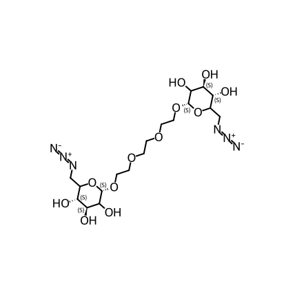 [N-]=[N+]=NCC1O[C@H](OCCOCCOCCO[C@H]2OC(CN=[N+]=[N-])[C@@H](O)[C@H](O)C2O)C(O)[C@@H](O)[C@@H]1O